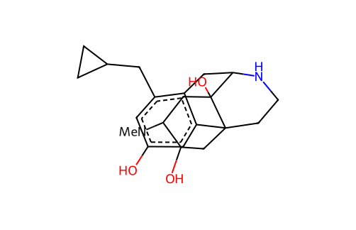 CNC1CC2(O)C3Cc4c(CC5CC5)cc(O)cc4C2(CCN3)CC1O